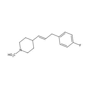 O=C(O)N1CCC(/C=C/Cc2ccc(F)cc2)CC1